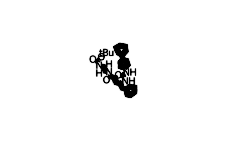 CC(C)(C)OC(=O)NCCNC(=O)C=CC(Cc1ccccc1)NC(=O)Nc1ccc(-c2ccccc2)cc1